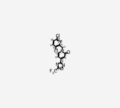 O=c1cc(-c2noc(C(F)(F)F)n2)ccn1Cc1nc(Cl)ccc1Cl